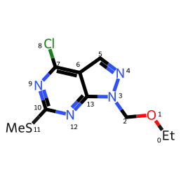 CCOCn1ncc2c(Cl)nc(SC)nc21